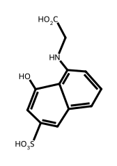 O=C(O)CNc1cccc2cc(S(=O)(=O)O)cc(O)c12